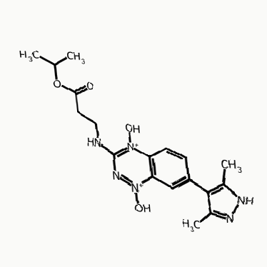 Cc1n[nH]c(C)c1-c1ccc2c(c1)[n+](O)nc(NCCC(=O)OC(C)C)[n+]2O